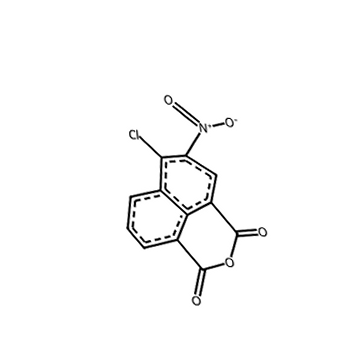 O=C1OC(=O)c2cc([N+](=O)[O-])c(Cl)c3cccc1c23